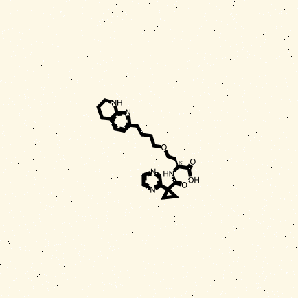 O=C(O)[C@H](CCOCCCCc1ccc2c(n1)NCCC2)NC(=O)C1(c2cnccn2)CC1